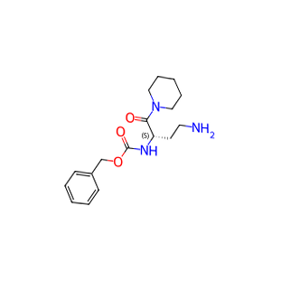 NCC[C@H](NC(=O)OCc1ccccc1)C(=O)N1CCCCC1